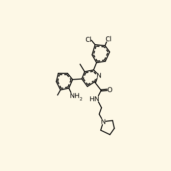 Cc1cccc(-c2cc(C(=O)NCCN3CCCC3)nc(-c3ccc(Cl)c(Cl)c3)c2C)c1N